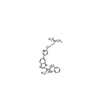 CN(C)CCCOc1ccc(-c2ccc3ncc(N(C)C(=O)Nc4ccccc4Cl)nc3c2)cn1